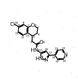 O=C(CC1CCOc2cc(Cl)ccc21)Nc1cc(-c2ccncc2)n[nH]1